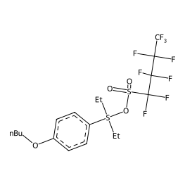 CCCCOc1ccc(S(CC)(CC)OS(=O)(=O)C(F)(F)C(F)(F)C(F)(F)C(F)(F)F)cc1